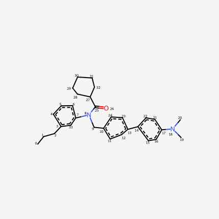 CCCc1cccc(N(Cc2ccc(-c3ccc(N(C)C)cc3)cc2)C(=O)C2CCCCC2)c1